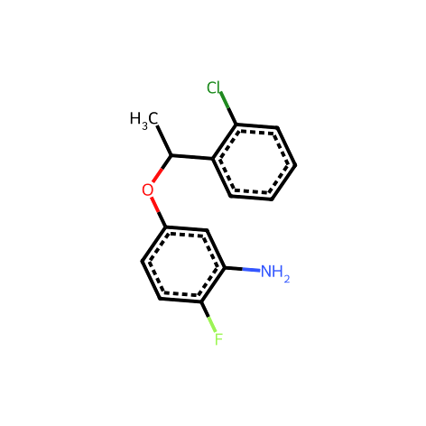 CC(Oc1ccc(F)c(N)c1)c1ccccc1Cl